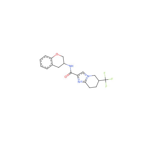 O=C(NC1COc2ccccc2C1)c1cn2c(n1)CCC(C(F)(F)F)C2